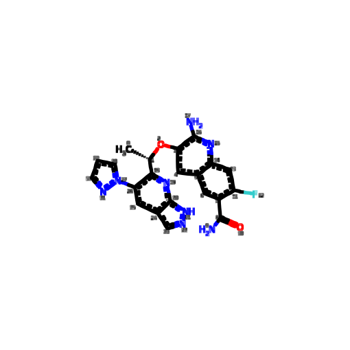 C[C@H](Oc1cc2cc(C(N)=O)c(F)cc2nc1N)c1nc2[nH]ncc2cc1-n1cccn1